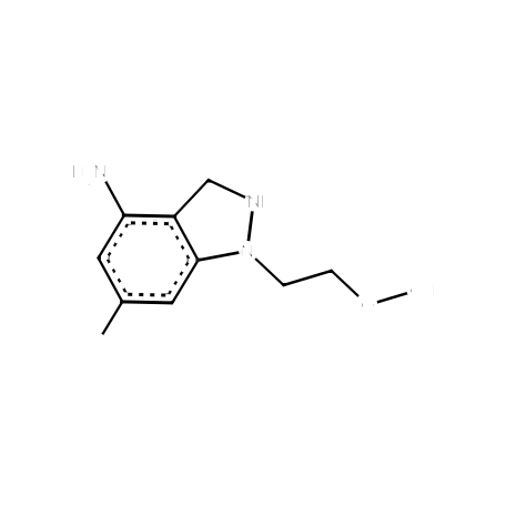 COCCN1NCc2c(N)cc(F)cc21